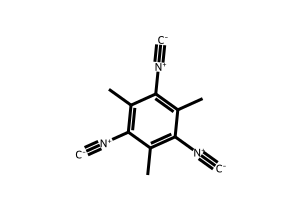 [C-]#[N+]c1c(C)c([N+]#[C-])c(C)c([N+]#[C-])c1C